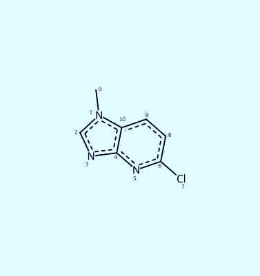 Cn1cnc2nc(Cl)ccc21